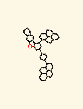 c1ccc2cc3c(cc2c1)oc1cc(-c2ccc(-c4ccc5ccc6cccc7ccc4c5c67)cc2)cc(-c2ccc4ccc5cccc6ccc2c4c56)c13